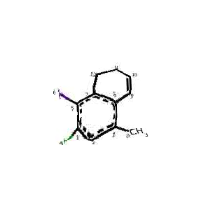 Cc1cc(F)c(I)c2c1C=CCC2